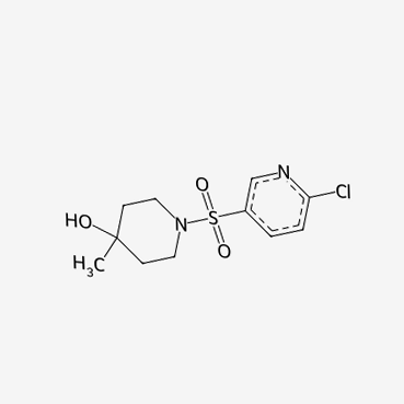 CC1(O)CCN(S(=O)(=O)c2ccc(Cl)nc2)CC1